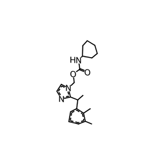 Cc1cccc(C(C)c2nccn2COC(=O)NC2CCCCC2)c1C